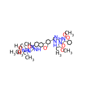 CC[C@H](C)N(Cc1nc2ccc3cc4c(cc3c2[nH]1)OCc1cc(-c2cnc(CN(C[C@H](C)COC)C(=O)[C@@H](NC(=O)OC)c3ccccc3)[nH]2)ccc1-4)C(=O)[C@@H](NC(=O)OC)C(C)C